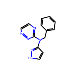 c1ccc(CN(c2cc[nH]n2)c2nccnn2)cc1